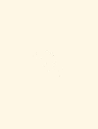 CC(=O)c1ccc2c(c1)N(C)CCC2(C)C